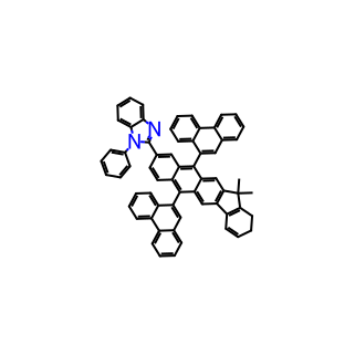 CC1(C)C2=C(C=CCC2)c2cc3c(-c4cc5ccccc5c5ccccc45)c4ccc(-c5nc6ccccc6n5-c5ccccc5)cc4c(-c4cc5ccccc5c5ccccc45)c3cc21